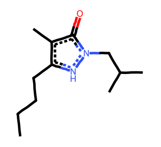 CCCCc1[nH]n(CC(C)C)c(=O)c1C